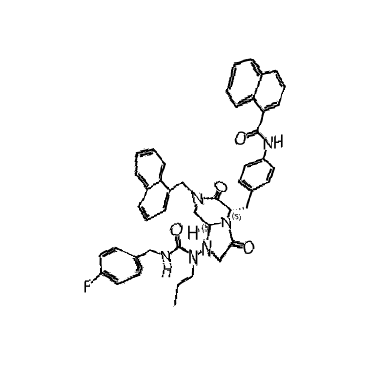 CCCN(C(=O)NCc1ccc(F)cc1)N1CC(=O)N2[C@@H](Cc3ccc(NC(=O)c4cccc5ccccc45)cc3)C(=O)N(Cc3cccc4ccccc34)C[C@@H]21